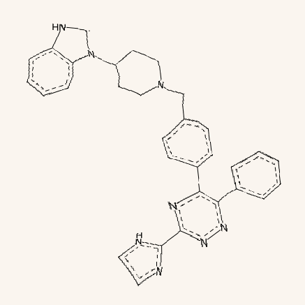 [CH]1Nc2ccccc2N1C1CCN(Cc2ccc(-c3nc(-c4ncc[nH]4)nnc3-c3ccccc3)cc2)CC1